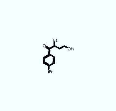 CCC(CCO)C(=O)c1ccc(C(C)C)cc1